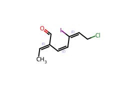 C\C=C(C=O)/C=C\C(I)=C/CCl